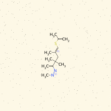 C=C(C)S/C=C(\C)CC(C)(C)C(=C)/N=N\C